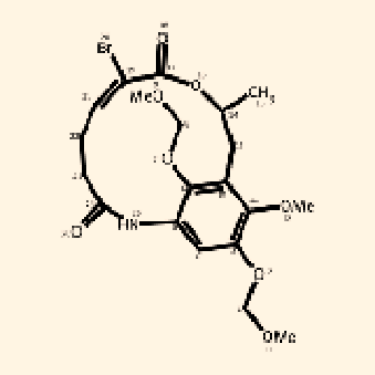 COCOc1cc2c(OCOC)c(c1OC)CC(C)OC(=O)C(Br)=CCCC(=O)N2